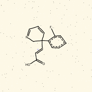 O=C(O)/C=C/C1(c2ccccc2F)C=CC=NC1